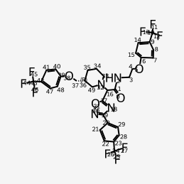 O=C(NCCOc1ccc(C(F)(F)F)cc1)C(c1nc(-c2ccc(C(F)(F)F)cc2)no1)N1CCC[C@@H](COc2ccc(C(F)(F)F)cc2)C1